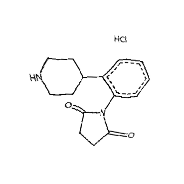 Cl.O=C1CCC(=O)N1c1ccccc1C1CCNCC1